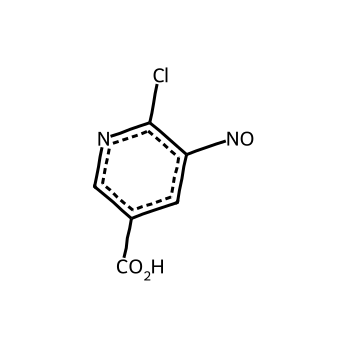 O=Nc1cc(C(=O)O)cnc1Cl